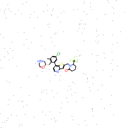 Cc1cc(Cl)cc(-c2ccnc3cc(CN4C(=O)CCCC4C(F)(F)F)sc23)c1C[C@H]1CNCCO1